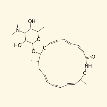 CC1/C=C/C=C\C=C\CC(C)C(OC2OC(C)C(O)C(N(C)C)C2O)C\C=C/C=C/C=C\C(=O)NC1